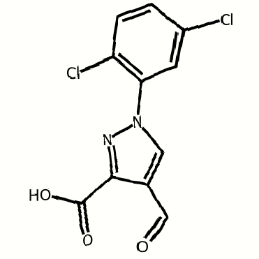 O=Cc1cn(-c2cc(Cl)ccc2Cl)nc1C(=O)O